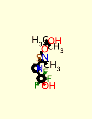 Cc1nc(COCC(C)(C)O)sc1-c1cccc(-c2cc(F)c(O)c(F)c2F)n1